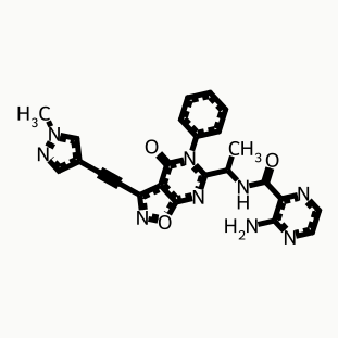 CC(NC(=O)c1nccnc1N)c1nc2onc(C#Cc3cnn(C)c3)c2c(=O)n1-c1ccccc1